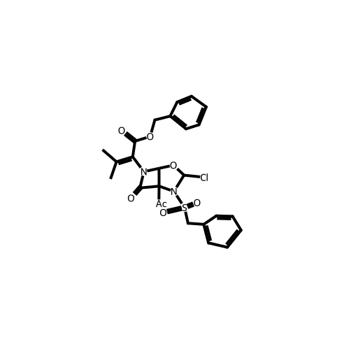 CC(=O)C12C(=O)N(C(C(=O)OCc3ccccc3)=C(C)C)C1OC(Cl)N2S(=O)(=O)Cc1ccccc1